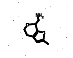 Cc1cc2c(s1)C(CN)OCC2